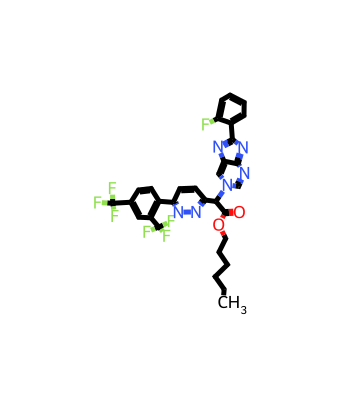 CCCCCCOC(=O)C(c1ccc(-c2ccc(C(F)(F)F)cc2C(F)(F)F)nn1)n1cnc2nc(-c3ccccc3F)nc-2c1